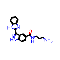 NCCCNC(=O)c1ccc2[nH]nc(-c3nc4ccccc4[nH]3)c2c1